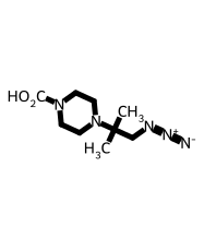 CC(C)(CN=[N+]=[N-])N1CCN(C(=O)O)CC1